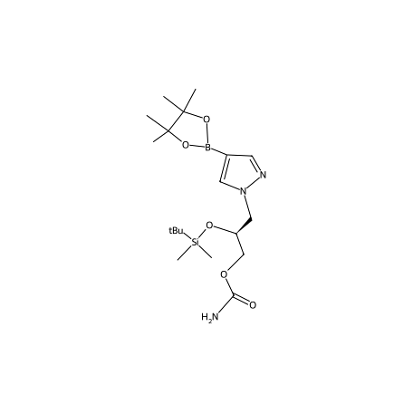 CC1(C)OB(c2cnn(C[C@@H](COC(N)=O)O[Si](C)(C)C(C)(C)C)c2)OC1(C)C